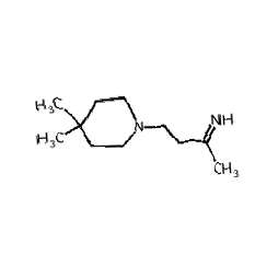 CC(=N)CCN1CCC(C)(C)CC1